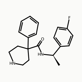 C[C@@H](NC(=O)C1(c2ccccc2)CCNCC1)c1ccc(F)cc1